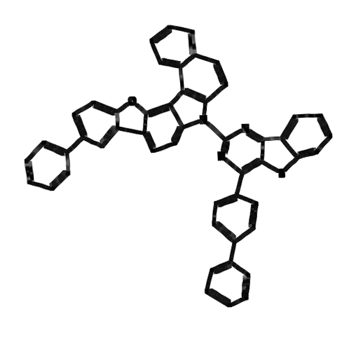 c1ccc(-c2ccc(-c3nc(-n4c5ccc6ccccc6c5c5c6oc7ccc(-c8ccccc8)cc7c6ccc54)nc4c3sc3ccccc34)cc2)cc1